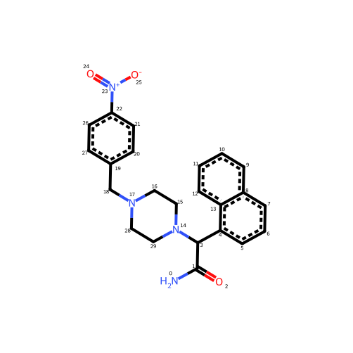 NC(=O)C(c1cccc2ccccc12)N1CCN(Cc2ccc([N+](=O)[O-])cc2)CC1